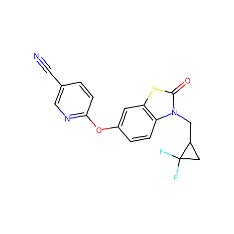 N#Cc1ccc(Oc2ccc3c(c2)sc(=O)n3CC2CC2(F)F)nc1